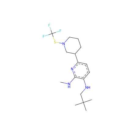 CNc1nc(C2CCCN(SC(F)(F)F)C2)ccc1NCC(C)(C)C